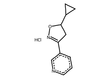 Cl.c1cncc(C2=NOC(C3CC3)C2)c1